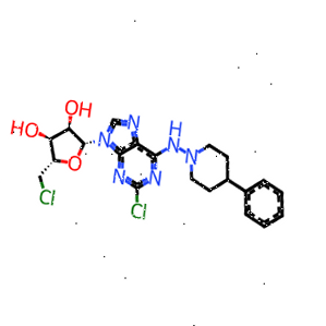 O[C@@H]1[C@H](O)[C@@H](CCl)O[C@H]1n1cnc2c(NN3CCC(c4ccccc4)CC3)nc(Cl)nc21